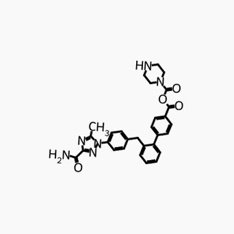 Cc1nc(C(N)=O)nn1-c1ccc(Cc2ccccc2-c2ccc(C(=O)OC(=O)N3CCNCC3)cc2)cc1